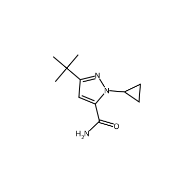 CC(C)(C)c1cc(C(N)=O)n(C2CC2)n1